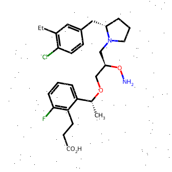 CCc1cc(C[C@@H]2CCCN2C[C@H](CO[C@H](C)c2cccc(F)c2CCC(=O)O)ON)ccc1Cl